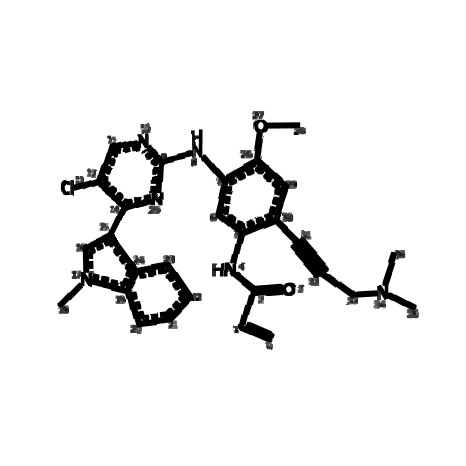 C=CC(=O)Nc1cc(Nc2ncc(Cl)c(-c3cn(C)c4ccccc34)n2)c(OC)cc1C#CCN(C)C